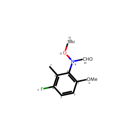 COc1ccc(F)c(C)c1N(C=O)OC(C)(C)C